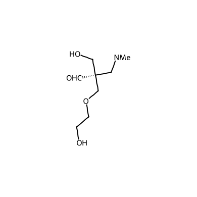 CNC[C@](C=O)(CO)COCCO